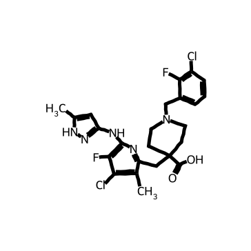 Cc1cc(Nc2nc(CC3(C(=O)O)CCN(Cc4cccc(Cl)c4F)CC3)c(C)c(Cl)c2F)n[nH]1